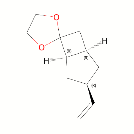 C=C[C@@H]1C[C@@H]2CC3(OCCO3)[C@@H]2C1